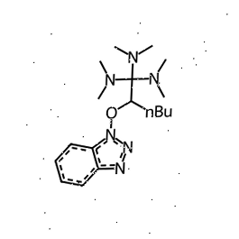 CCCCC(On1nnc2ccccc21)C(N(C)C)(N(C)C)N(C)C